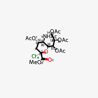 COC(=O)[C@@]1(Cl)C[C@H](OC(C)=O)[C@@H](NC(C)=O)[C@H]([C@H](OC(C)=O)[C@@H](COC(C)=O)OC(C)=O)O1